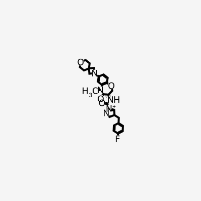 CN1C(=O)[C@H](NC(=O)[N+]2=CC(Cc3ccc(F)cc3)C=N2)COc2ccc(N3CC4(CCOCC4)C3)cc21